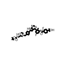 Cc1c(NC(=O)c2ccc(C(C)(C)O)cc2F)cc(F)cc1-c1ncnc2[nH]c(-c3ccc(CN4CCOC(CNC(=O)OC(C)(C)C)C4)cc3)cc12